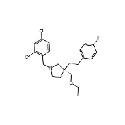 CCOC[C@]1(CCc2ccc(F)cc2)CCN(Cc2ccc(Cl)cc2Cl)C1